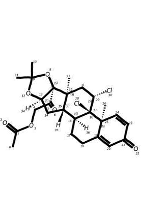 CC(=O)OCC(=O)[C@@]12OC(C)(C)O[C@@H]1C[C@H]1[C@@H]3CCC4=CC(=O)C=C[C@]4(C)[C@@]3(Cl)[C@@H](Cl)C[C@@]12C